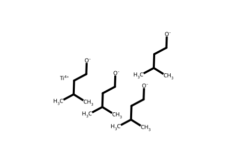 CC(C)CC[O-].CC(C)CC[O-].CC(C)CC[O-].CC(C)CC[O-].[Ti+4]